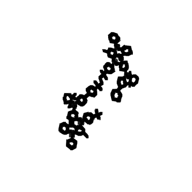 Cc1cc2c3c(c1)N(c1ccc(C(C)(C)C)cc1)c1cc(N4c5ccc(-c6ccc(C(C)(C)CCC(C)(C)c7ccc(N8c9cc(N%10c%11ccc(-c%12ccccc%12)cc%11C%11(C)CCCCC%10%11C)ccc9B9c%10ccccc%10N(c%10ccccc%10)c%10cc(C)cc8c%109)cc7)cc6)cc5C5(C)CCCCC45C)ccc1B3c1ccccc1N2c1ccccc1